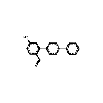 O=Cc1ccc(O)cc1-c1ccc(-c2ccccc2)cc1